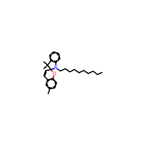 CCCCCCCCCCN1c2ccccc2C(C)(C)C12C=Cc1cc(C)ccc1O2